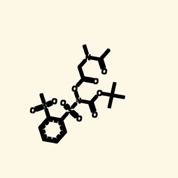 CC(=O)N(C)CC(=O)ON(C(=O)OC(C)(C)C)S(=O)(=O)c1ccccc1S(C)(=O)=O